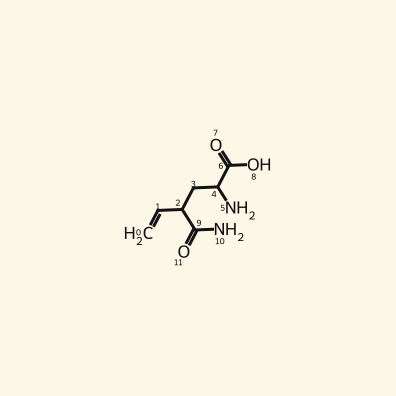 C=CC(CC(N)C(=O)O)C(N)=O